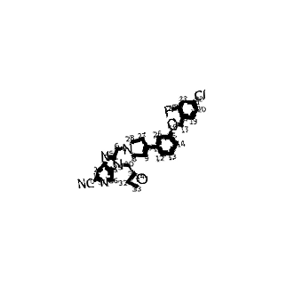 N#Cc1cc2nc(CN3CC=C(c4cccc(OCc5ccc(Cl)cc5F)c4)CC3)n(C[C@@H]3CCO3)c2cn1